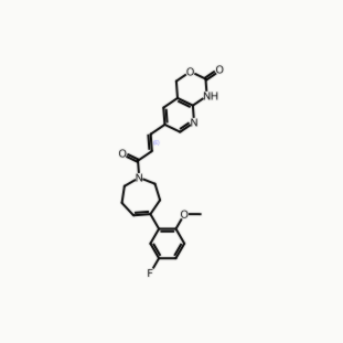 COc1ccc(F)cc1C1=CCCN(C(=O)/C=C/c2cnc3c(c2)COC(=O)N3)CC1